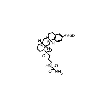 CCCCCCc1ccc2c(c1)CCN1C[C@H]3CCCN(S(=O)(=O)CCCNS(N)(=O)=O)[C@H]3C[C@@H]21